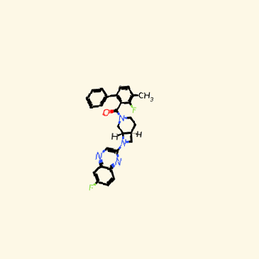 Cc1ccc(-c2ccccc2)c(C(=O)N2CC[C@H]3CN(c4cnc5cc(F)ccc5n4)[C@@H]3C2)c1F